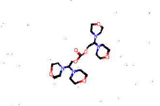 O=C(OCC(N1CCOCC1)N1CCOCC1)OCC(N1CCOCC1)N1CCOCC1